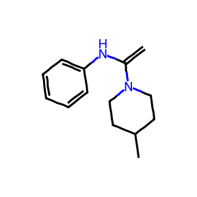 C=C(Nc1ccccc1)N1CCC(C)CC1